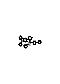 c1ccc(-c2ccc(-c3nc(-c4ccccc4)n4c5cc6c(cc5c5ccccc5c34)c3ccccc3n6-c3ccccc3)cc2)cc1